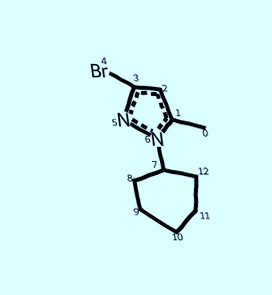 Cc1cc(Br)nn1C1CCCCC1